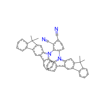 CC1(C)c2ccccc2-c2cc3c4ccccc4n(-c4ccc(C#N)c(C#N)c4-n4c5ccccc5c5cc6c(cc54)C(C)(C)c4ccccc4-6)c3cc21